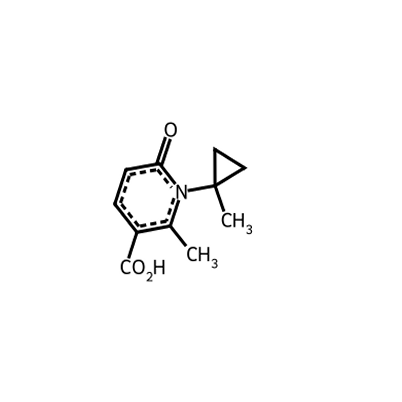 Cc1c(C(=O)O)ccc(=O)n1C1(C)CC1